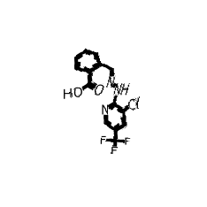 O=C(O)c1ccccc1C=NNc1ncc(C(F)(F)F)cc1Cl